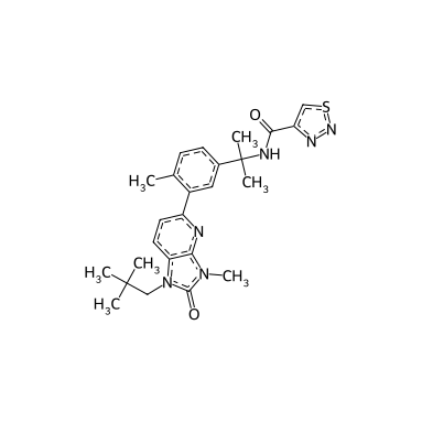 Cc1ccc(C(C)(C)NC(=O)c2csnn2)cc1-c1ccc2c(n1)n(C)c(=O)n2CC(C)(C)C